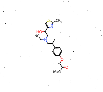 CNC(=O)COc1ccc(C(C)CN(CC#N)CC(O)c2csc(C(F)(F)F)n2)cc1